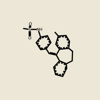 Cc1ccc2c(c1)C(=Cc1ccc(NS(C)(=O)=O)cc1)c1ccccc1CC2